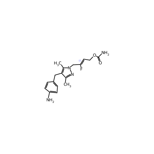 Cc1nn(C/C(F)=C/COC(N)=O)c(C)c1Cc1ccc(N)cc1